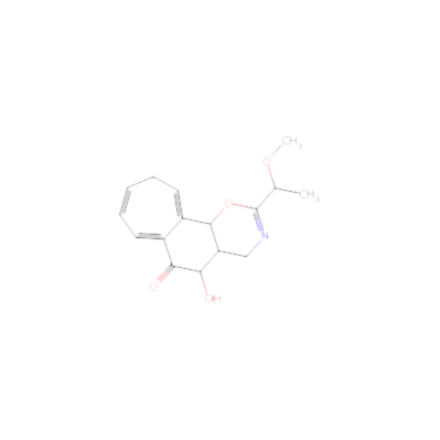 COC(C)C1=NCC2C(O)C(=O)C3=CC=CCC=C3C2O1